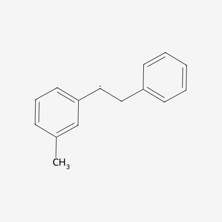 Cc1cccc([CH]Cc2ccccc2)c1